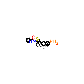 O=C(Nc1scc(C2CCc3ccc(P)cc3C2)c1C(=O)O)c1ccccc1